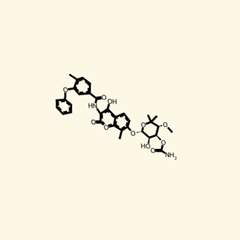 CO[C@@H]1[C@@H](OC(N)=O)[C@@H](O)[C@H](Oc2ccc3c(O)c(NC(=O)c4ccc(C)c(Oc5ccccc5)c4)c(=O)oc3c2C)OC1(C)C